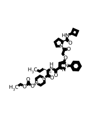 CCC[C@H](NC(=O)c1cc(OCC(=O)N2CCC[C@H]2C(=O)NC2CCC2)n(-c2ccccc2)n1)C(=O)N1CCN(OC(=O)OCC)CC1